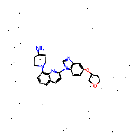 NC1CCN(c2cccc3ccc(-n4cnc5cc(OC6CCOC6)ccc54)nc23)CC1